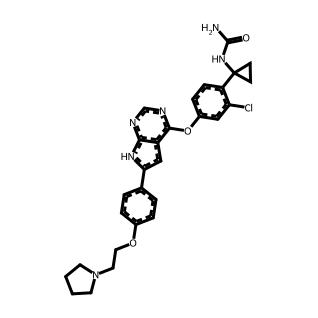 NC(=O)NC1(c2ccc(Oc3ncnc4[nH]c(-c5ccc(OCCN6CCCC6)cc5)cc34)cc2Cl)CC1